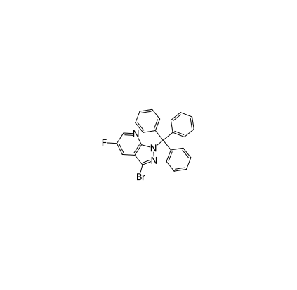 Fc1cnc2c(c1)c(Br)nn2C(c1ccccc1)(c1ccccc1)c1ccccc1